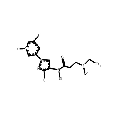 CCN(C(=O)CC[S+]([O-])CC(F)(F)F)c1cn(-c2cc(F)c[n+]([O-])c2)nc1Cl